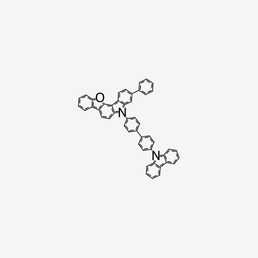 c1ccc(-c2ccc3c4c5oc6ccccc6c5ccc4n(-c4ccc(-c5ccc(-n6c7ccccc7c7ccccc76)cc5)cc4)c3c2)cc1